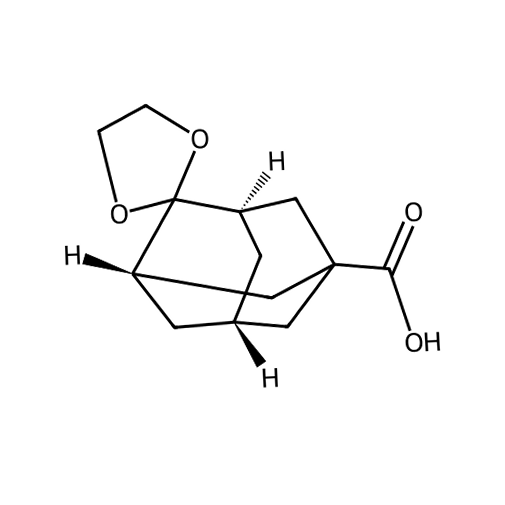 O=C(O)C12C[C@H]3C[C@H](C1)C1(OCCO1)[C@@H](C3)C2